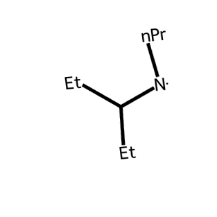 CCC[N]C(CC)CC